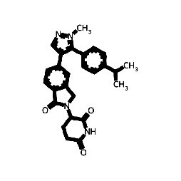 CC(C)c1ccc(-c2c(-c3ccc4c(c3)CN(C3CCC(=O)NC3=O)C4=O)cnn2C)cc1